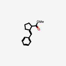 COC(=O)C1CCCC1=Cc1ccccc1